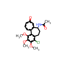 COc1c(Cl)c2c(c(OC)c1OC)-c1cccc(=O)cc1[C@@H](NC(C)=O)CC2